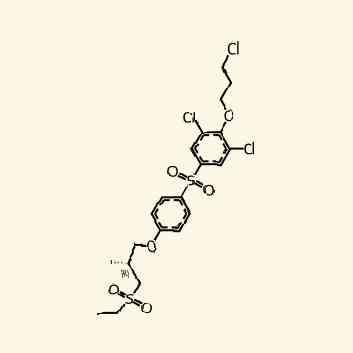 CCS(=O)(=O)C[C@H](C)COc1ccc(S(=O)(=O)c2cc(Cl)c(OCCCCl)c(Cl)c2)cc1